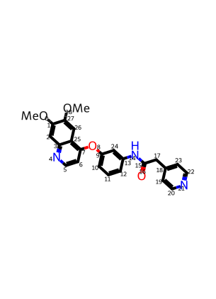 COc1cc2nccc(Oc3cccc(NC(=O)Cc4ccncc4)c3)c2cc1OC